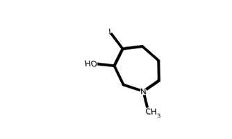 CN1CCCC(I)C(O)C1